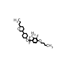 CCCCOc1ccc(C(F)(F)OC2CCC(C3CCC(CCC)OC3)CC2)c(C)c1F